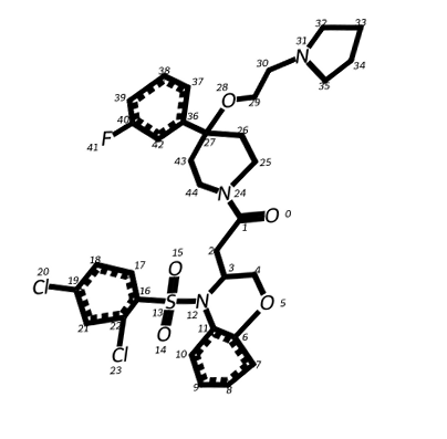 O=C(CC1COc2ccccc2N1S(=O)(=O)c1ccc(Cl)cc1Cl)N1CCC(OCCN2CCCC2)(c2cccc(F)c2)CC1